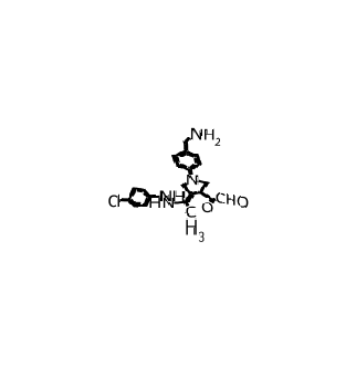 CC(NNc1ccc(Cl)cc1)=C1CN(c2ccc(CN)cc2)CC1C(=O)C=O